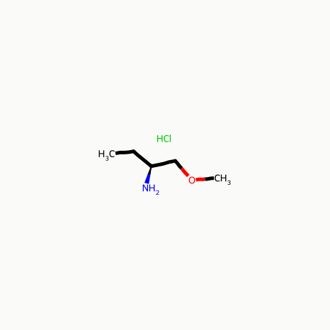 CC[C@H](N)COC.Cl